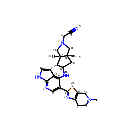 CN1CCc2nc(-c3cnc4[nH]ccc4c3NC3C[C@@H]4CN(CC#N)C[C@@H]4C3)sc2C1